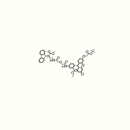 CCOC(=O)c1cc(NC(=O)COCC(=O)NCCN(C(=O)OC)C2c3ccccc3-c3ccccc32)ccc1-c1c2ccc(=O)cc-2oc2cc(OCC(=O)OC(C)(C)C)ccc12